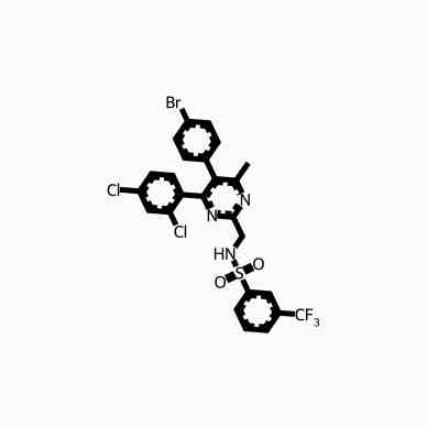 Cc1nc(CNS(=O)(=O)c2cccc(C(F)(F)F)c2)nc(-c2ccc(Cl)cc2Cl)c1-c1ccc(Br)cc1